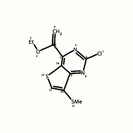 C=C(OCC)c1nc(Cl)nc2c(SC)csc12